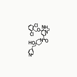 Nc1ncc(C(=O)N2CCC(O)(CCc3ccncc3)CC2)cc1OCc1c(Cl)cccc1Cl